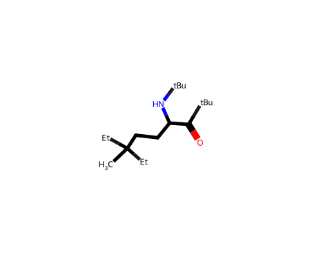 CCC(C)(CC)CCC(NC(C)(C)C)C(=O)C(C)(C)C